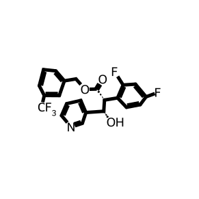 O=C(OCc1cccc(C(F)(F)F)c1)[C@H](c1ccc(F)cc1F)[C@H](O)c1cccnc1